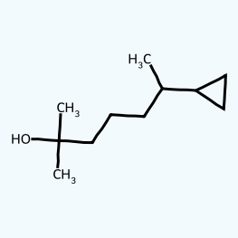 CC(CCCC(C)(C)O)C1CC1